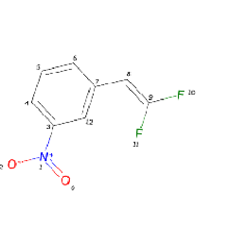 O=[N+]([O-])c1cccc(C=C(F)F)c1